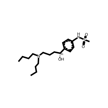 CCCCN(CCCC)CCC[C@@H](O)c1ccc(NS(C)(=O)=O)cc1